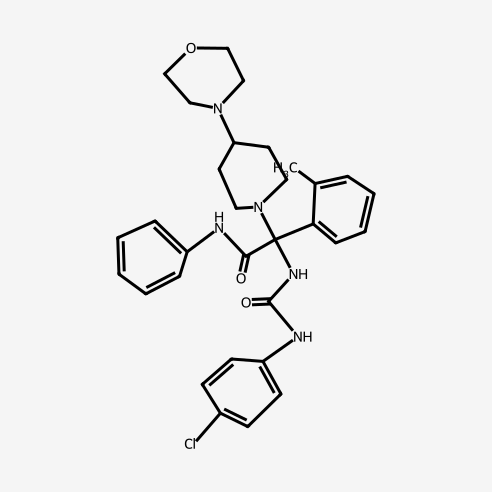 Cc1ccccc1C(NC(=O)Nc1ccc(Cl)cc1)(C(=O)Nc1ccccc1)N1CCC(N2CCOCC2)CC1